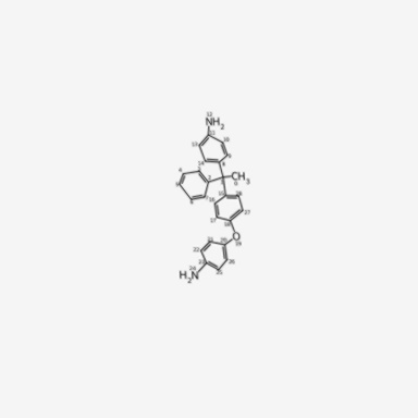 CC(c1ccccc1)(c1ccc(N)cc1)c1ccc(Oc2ccc(N)cc2)cc1